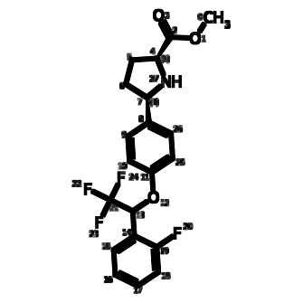 COC(=O)[C@@H]1CC[C@H](c2ccc(OC(c3ccccc3F)C(F)(F)F)cc2)N1